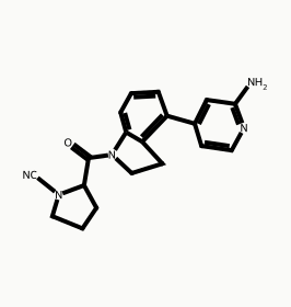 N#CN1CCCC1C(=O)N1CCc2c(-c3ccnc(N)c3)cccc21